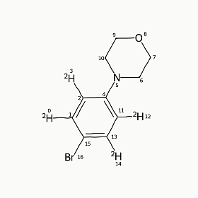 [2H]c1c([2H])c(N2CCOCC2)c([2H])c([2H])c1Br